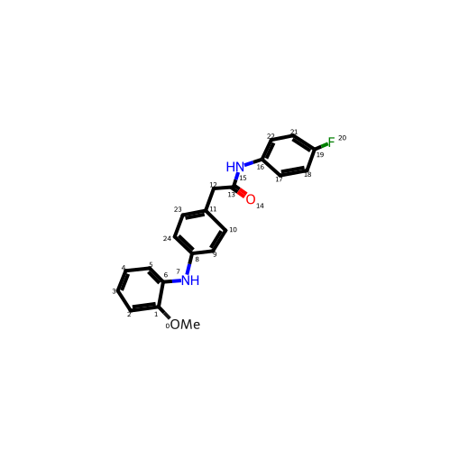 COc1ccccc1Nc1ccc(CC(=O)Nc2ccc(F)cc2)cc1